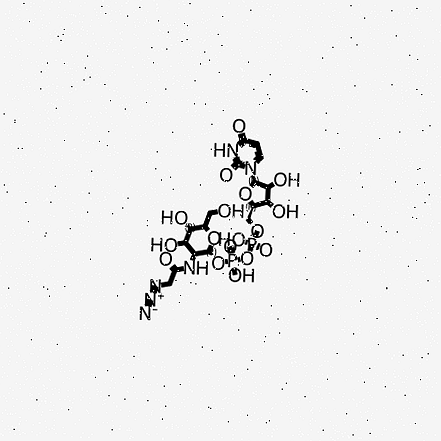 [N-]=[N+]=NCC(=O)NC1C(O)[C@@H](O)C(CO)O[C@@H]1OP(=O)(O)OP(=O)(O)OC[C@H]1O[C@@H](n2ccc(=O)[nH]c2=O)C(O)C1O